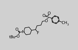 Cc1ccc(S(=O)(=O)OCCCC(F)C2CCN(C(=O)OC(C)(C)C)CC2)cc1